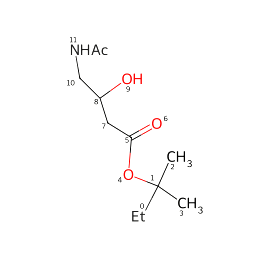 CCC(C)(C)OC(=O)CC(O)CNC(C)=O